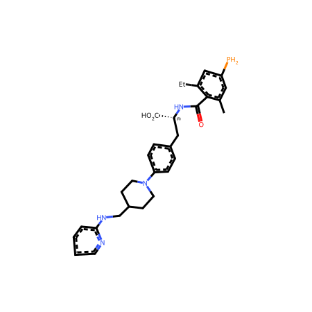 CCc1cc(P)cc(C)c1C(=O)N[C@H](Cc1ccc(N2CCC(CNc3ccccn3)CC2)cc1)C(=O)O